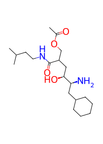 CC(=O)OCC(C[C@H](O)[C@@H](N)CC1CCCCC1)C(=O)NCCC(C)C